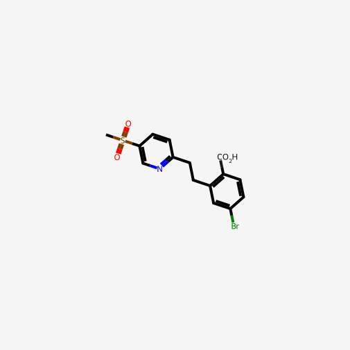 CS(=O)(=O)c1ccc(CCc2cc(Br)ccc2C(=O)O)nc1